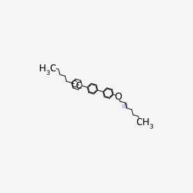 CCCC/C=C/COc1ccc(-c2ccc(C34CCC(CCCCC)(CC3)CC4)cc2)cc1